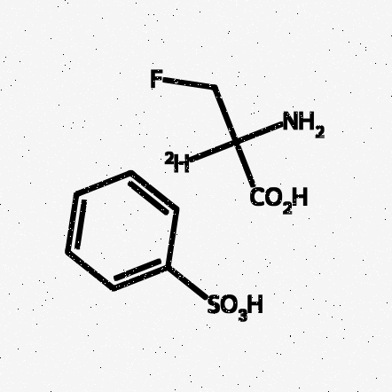 O=S(=O)(O)c1ccccc1.[2H]C(N)(CF)C(=O)O